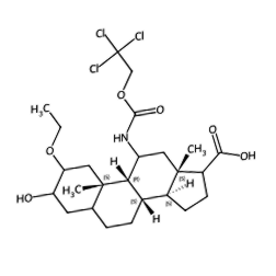 CCOC1C[C@@]2(C)C(CC[C@@H]3[C@H]2C(NC(=O)OCC(Cl)(Cl)Cl)C[C@]2(C)C(C(=O)O)CC[C@@H]32)CC1O